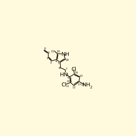 C=C/C=C\c1c(CCNc2c(Cl)cc(N)cc2Cl)c[nH]c1C